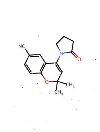 CC1(C)C=C(N2CCCC2=O)c2cc(C#N)ccc2O1